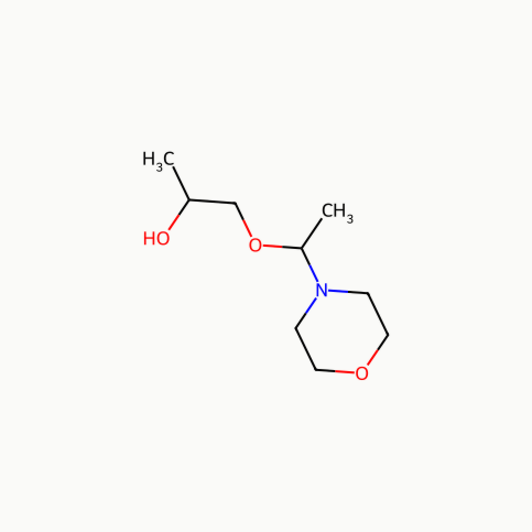 CC(O)COC(C)N1CCOCC1